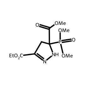 CCOC(=O)C1=NNC(C(=O)OC)(P(=O)(OC)OC)C1